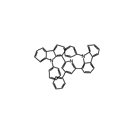 c1ccc(-c2cc(-c3cccc4c5ccccc5n(-c5ccccc5)c34)nc(-c3cccc4c5ccccc5n(-c5ccccc5)c34)c2)cc1